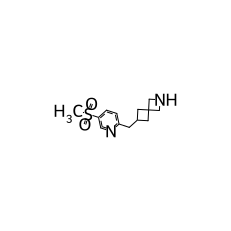 CS(=O)(=O)c1ccc(CC2CC3(CNC3)C2)nc1